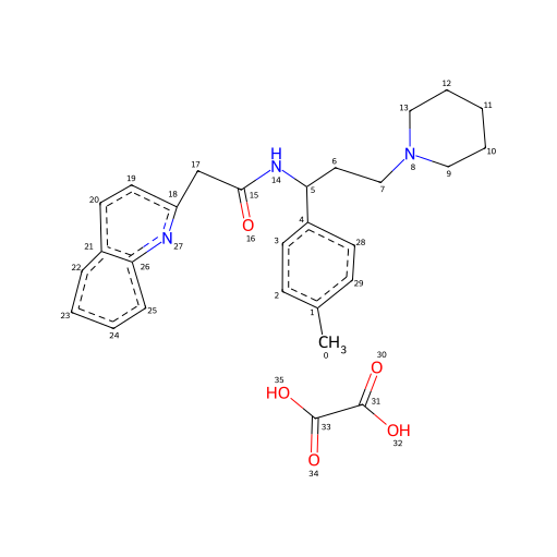 Cc1ccc(C(CCN2CCCCC2)NC(=O)Cc2ccc3ccccc3n2)cc1.O=C(O)C(=O)O